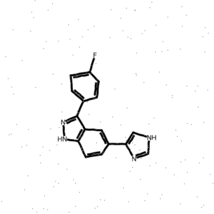 Fc1ccc(-c2n[nH]c3ccc(-c4c[nH]cn4)cc23)cc1